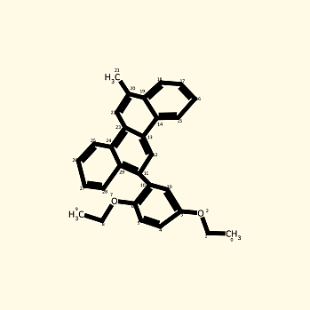 CCOc1ccc(OCC)c(-c2cc3c4ccccc4c(C)cc3c3ccccc23)c1